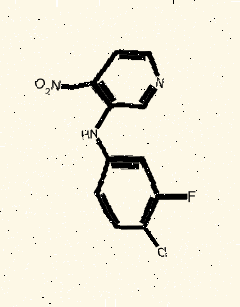 O=[N+]([O-])c1ccncc1Nc1ccc(Cl)c(F)c1